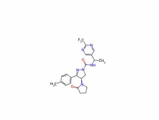 Cc1ccc(C2=NN(C(=O)NC(C)c3cnc(C(F)(F)F)nc3)C[C@H]2N2CCCC2=O)cc1